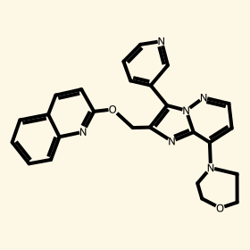 c1cncc(-c2c(COc3ccc4ccccc4n3)nc3c(N4CCOCC4)ccnn23)c1